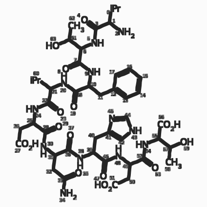 CC(C)C(N)C(=O)NC(C(=O)NC(Cc1ccccc1)C(=O)NC(C(=O)NC(CC(=O)O)C(=O)NC(CC(N)=O)C(=O)NC(Cc1c[nH]cn1)C(=O)NC(CC(=O)O)C(=O)NC(C(=O)O)C(C)O)C(C)C)C(C)O